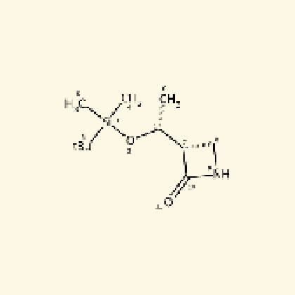 C[C@@H](O[Si](C)(C)C(C)(C)C)[C@@H]1CNC1=O